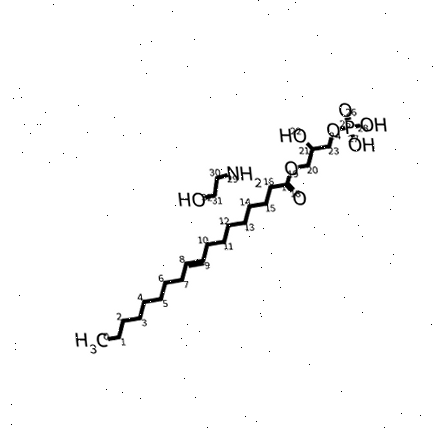 CCCCCCCC/C=C/CCCCCCCC(=O)OCC(O)COP(=O)(O)O.NCCO